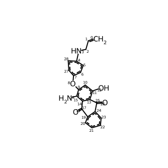 C=CCNc1ccc(Oc2cc(O)c3c(c2N)C(=O)c2ccccc2C3=O)cc1